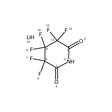 O=C1NC(=O)C(F)(F)C(F)(F)C1(F)F.[LiH]